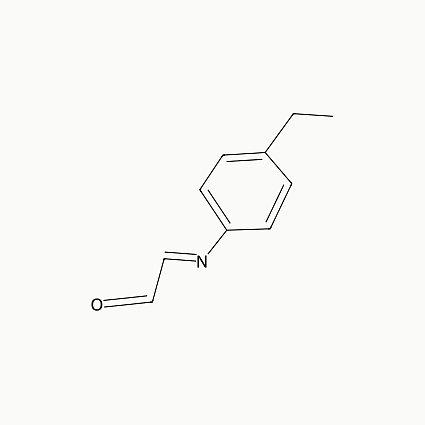 CCc1ccc(N=CC=O)cc1